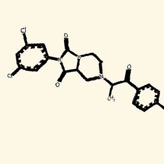 CC(C(=O)c1ccc(Br)cc1)N1CCN2C(=O)N(c3cc(Cl)cc(Cl)c3)C(=O)C2C1